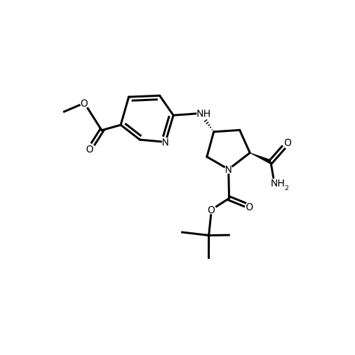 COC(=O)c1ccc(N[C@@H]2C[C@@H](C(N)=O)N(C(=O)OC(C)(C)C)C2)nc1